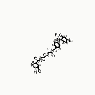 O=C(CCOCCNC(=O)c1cn[nH]c(=O)c1)NCc1ccc(Nc2ccc(Br)cc2C(F)(F)F)cc1